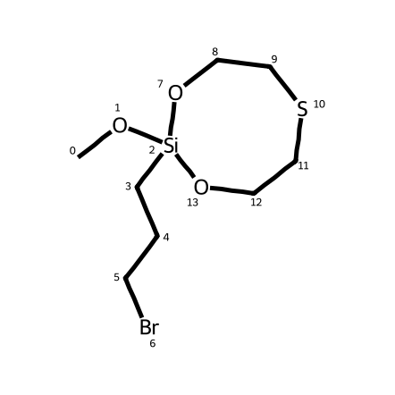 CO[Si]1(CCCBr)OCCSCCO1